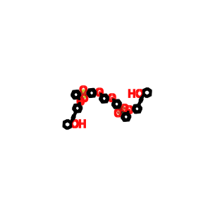 O=S(=O)(c1ccc(Oc2cccc(Oc3ccc(S(=O)(=O)c4ccccc4Oc4cccc(C#CC5(O)CCCCC5)c4)cc3)c2)cc1)c1ccccc1Oc1ccc(C#CC2(O)CCCCC2)cc1